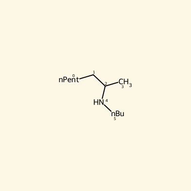 CCCCCCC(C)NCCCC